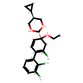 CCOC1([C@H]2OC[C@H](C3CC3)CO2)C=CC(c2cccc(F)c2F)=C(F)C1